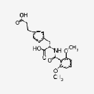 COc1cccc(OC)c1C(=O)N[C@@H](Cc1ccc(CCC(=O)O)cc1)C(=O)O